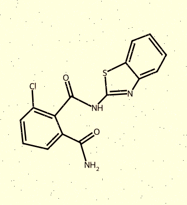 NC(=O)c1cccc(Cl)c1C(=O)Nc1nc2ccccc2s1